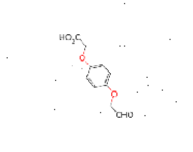 O=CCOc1ccc(OCC(=O)O)cc1